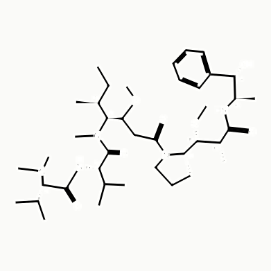 CC[C@H](C)[C@@H](C(CC(=O)N1CCC[C@H]1[C@H](OC)[C@@H](C)C(=O)N[C@H](C)[C@@H](O)c1ccccc1)OC)N(C)C(=O)[C@@H](NC(=O)[C@H](C(C)C)N(C)C)C(C)C